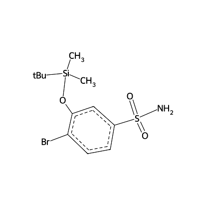 CC(C)(C)[Si](C)(C)Oc1cc(S(N)(=O)=O)ccc1Br